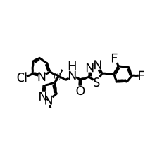 Cn1cc([C@@](C)(CNC(=O)c2nnc(-c3ccc(F)cc3F)s2)c2cccc(Cl)n2)cn1